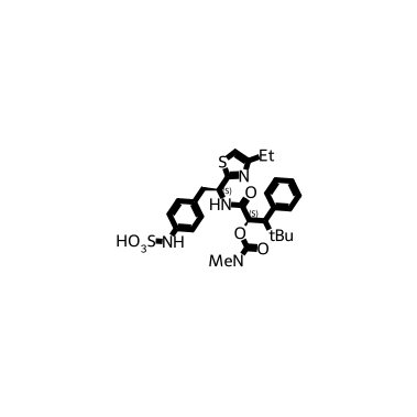 CCc1csc([C@H](Cc2ccc(NS(=O)(=O)O)cc2)NC(=O)[C@@H](OC(=O)NC)C(c2ccccc2)C(C)(C)C)n1